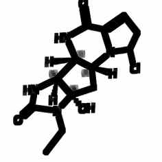 CCN1C(=O)N[C@H]2[C@@H]3NC(=O)C4=CCC(Cl)N4[C@@H]3C[C@]21O